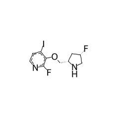 Fc1nccc(I)c1OC[C@@H]1C[C@H](F)CN1